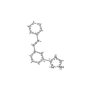 c1ccc(N=Nc2cccc(-c3nc[nH]n3)c2)cc1